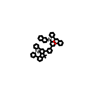 CC1(C)c2cccc3c2-c2c1c(-c1cccc(-c4cccc(N(c5ccc6ccccc6c5)c5ccccc5-c5ccc6ccccc6c5)c4)c1)cc1c4ccccc4n(c21)-c1ccccc1-3